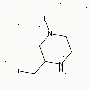 ICC1CN(I)CCN1